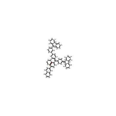 c1ccc(-c2cc(-c3cccc(-n4c5ccccc5c5ccccc54)c3)ccc2N(c2ccc(-c3ccc4ccccc4c3)cc2)c2ccc(-n3c4ccccc4c4ccccc43)cc2)cc1